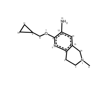 CN1CCc2nc(OCC3CC3)c(N)cc2C1